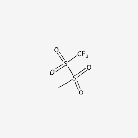 CS(=O)(=O)S(=O)(=O)C(F)(F)F